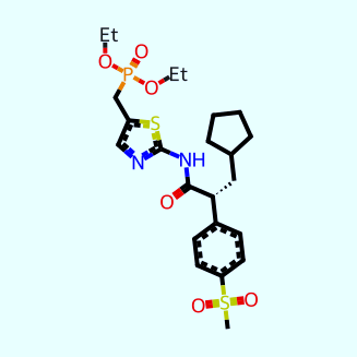 CCOP(=O)(Cc1cnc(NC(=O)[C@H](CC2CCCC2)c2ccc(S(C)(=O)=O)cc2)s1)OCC